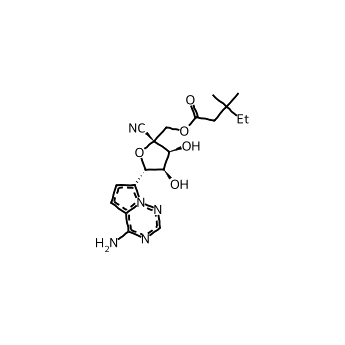 CCC(C)(C)CC(=O)OC[C@@]1(C#N)O[C@@H](c2ccc3c(N)ncnn23)[C@H](O)[C@@H]1O